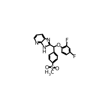 CS(=O)(=O)c1ccc(C(Oc2ccc(F)cc2F)c2nc3cccnc3[nH]2)cc1